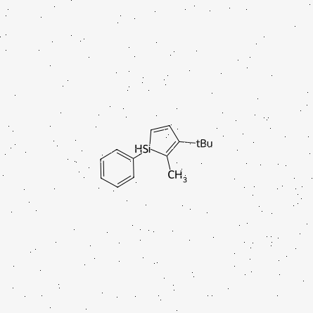 CC1=C(C(C)(C)C)C=C[SiH]1c1ccccc1